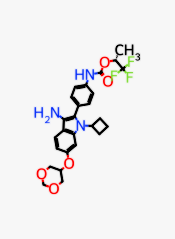 C[C@@H](OC(=O)Nc1ccc(-c2c(N)c3ccc(OC4COCOC4)cc3n2C2CCC2)cc1)C(F)(F)F